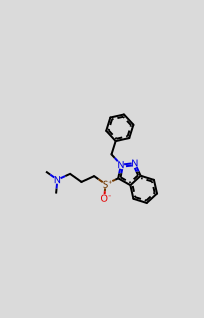 CN(C)CCC[S+]([O-])c1c2ccccc2nn1Cc1ccccc1